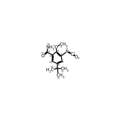 COc1c(N=C=O)cc(C(C)(C)C)cc1C(N)=O